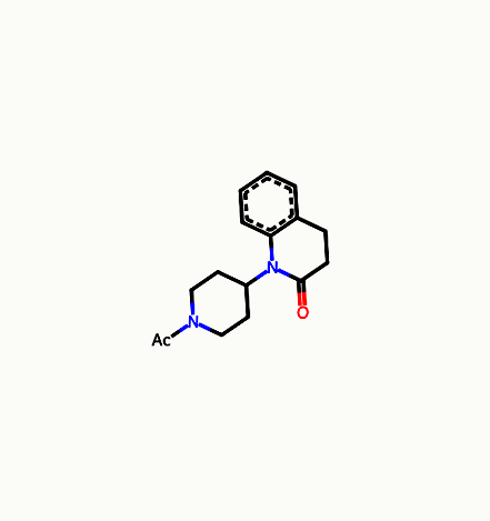 CC(=O)N1CCC(N2C(=O)CCc3ccccc32)CC1